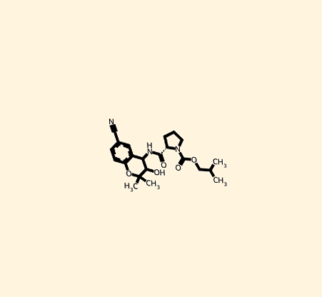 CC(C)COC(=O)N1CCC[C@H]1C(=O)NC1c2cc(C#N)ccc2OC(C)(C)C1O